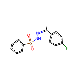 CC(=NNS(=O)(=O)c1ccccc1)c1ccc(F)cc1